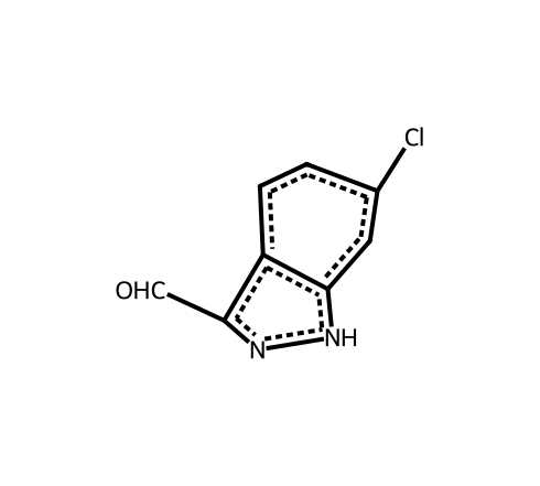 O=Cc1n[nH]c2cc(Cl)ccc12